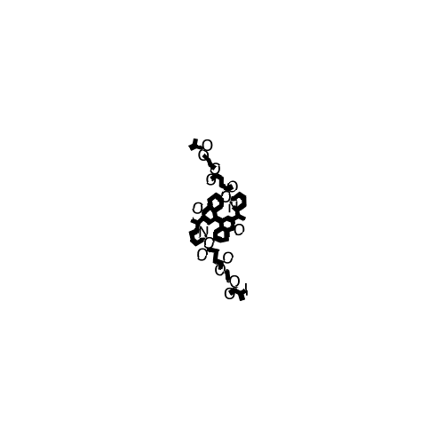 C=C(C)C(=O)OCCOC(=O)CCC(=O)Oc1cccc(C(C)C2=C/C(=C3/C=C(C(C)c4cccc(OC(=O)CCC(=O)OCCOC(=O)C(=C)I)n4)C(=O)c4ccccc43)c3ccccc3C2=O)n1